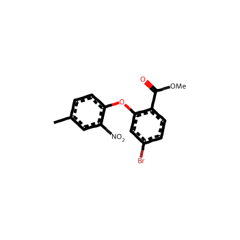 COC(=O)c1ccc(Br)cc1Oc1ccc(C)cc1[N+](=O)[O-]